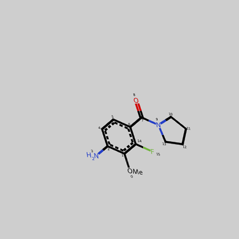 COc1c(N)ccc(C(=O)N2CCCC2)c1F